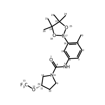 Cc1ccc(NC(=O)N2CC[C@H](OC(F)(F)F)C2)cc1B1OC(C)(C)C(C)(C)O1